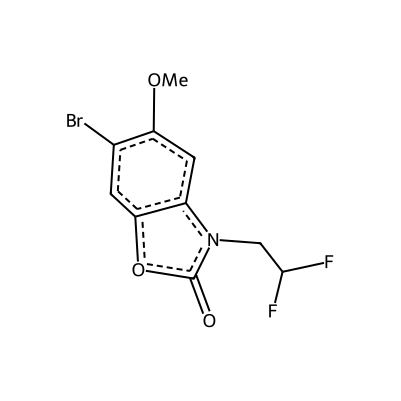 COc1cc2c(cc1Br)oc(=O)n2CC(F)F